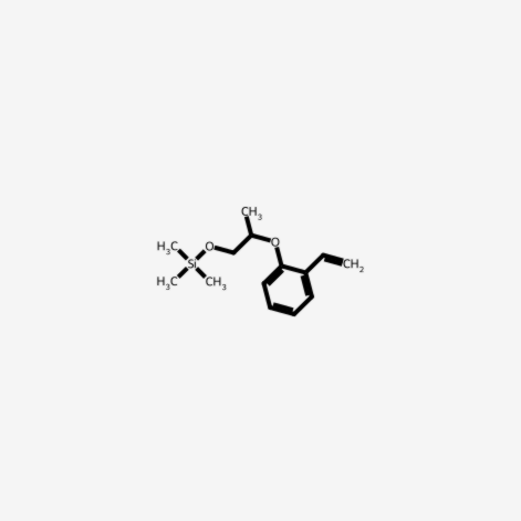 C=Cc1ccccc1OC(C)CO[Si](C)(C)C